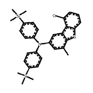 Cc1cc(N(c2ccc([Si](C)(C)C)cc2)c2ccc([Si](C)(C)C)cc2)cc2c1sc1cccc(Cl)c12